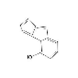 Oc1cccc2c1C1=CC=CC1=C2